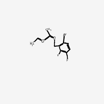 CCOC(C)OCc1c(Br)ccc(F)c1F